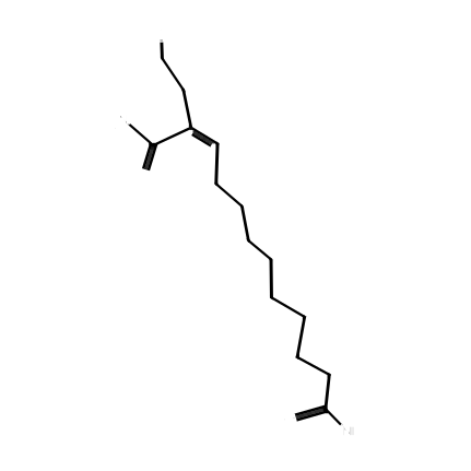 NC(=O)CCCCCCCCC=C(CCO)C(N)=O